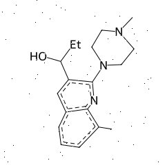 CCC(O)c1cc2cccc(C)c2nc1N1CCN(C)CC1